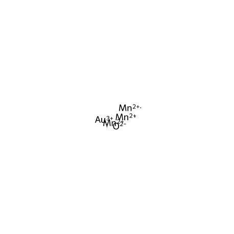 [Au+3].[Mn+2].[Mn+2].[Mn+2].[O-2]